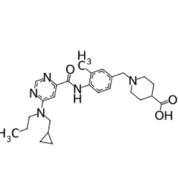 CCCN(CC1CC1)c1cc(C(=O)Nc2ccc(CN3CCC(C(=O)O)CC3)cc2C)ncn1